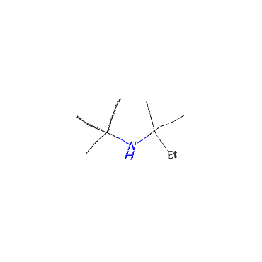 CCC(C)(C)NC(C)(C)C